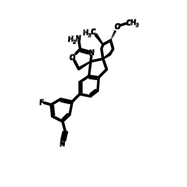 CO[C@@H]1CC[C@]2(Cc3ccc(-c4cc(F)cc(C#N)c4)cc3[C@@]23COC(N)=N3)C[C@H]1C